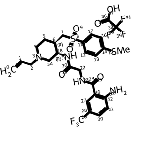 C=CCN1CC[C@@H](CS(=O)(=O)c2ccc(SC)cc2)[C@@H](NC(=O)CNC(=O)c2cc(C(F)(F)F)ccc2N)C1.O=C(O)C(F)(F)F